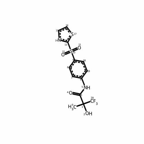 CC(O)(C(=O)Nc1ccc(S(=O)(=O)c2nccs2)cc1)C(F)(F)F